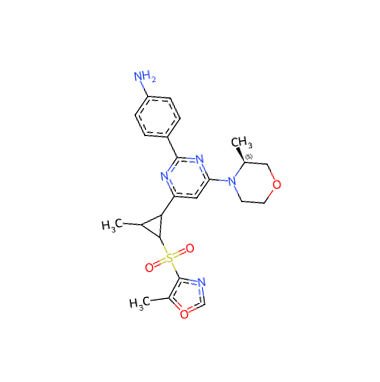 Cc1ocnc1S(=O)(=O)C1C(C)C1c1cc(N2CCOC[C@@H]2C)nc(-c2ccc(N)cc2)n1